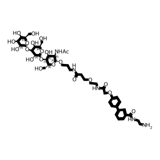 CC(=O)N[C@H]1[C@H](OCCCNC(=O)CCOCCNC(=O)COc2ccc(-c3cccc(C(=O)NCCN)c3)cc2)O[C@H](CO)[C@@H](O[C@@H]2O[C@H](CO)[C@H](O)[C@H](O[C@H]3O[C@H](CO)[C@H](O)[C@H](O)[C@H]3O)[C@H]2O)[C@@H]1O